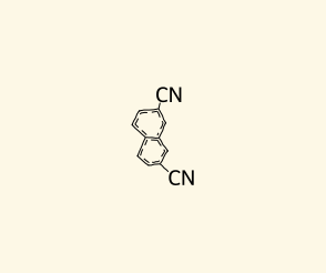 N#Cc1ccc2ccc(C#N)cc2c1